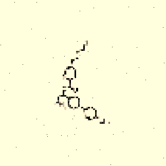 CCCCCc1ccc(C(=O)OC(CC)c2ccc(-c3ccc(C)cc3)cc2)nc1